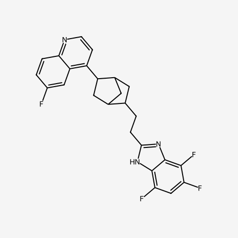 Fc1ccc2nccc(C3CC4CC3CC4CCc3nc4c(F)c(F)cc(F)c4[nH]3)c2c1